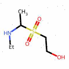 CCNC(C)S(=O)(=O)CCO